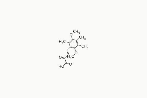 COc1c(C)c(C)c(OC)c(C=CC(=O)C(=O)O)c1C